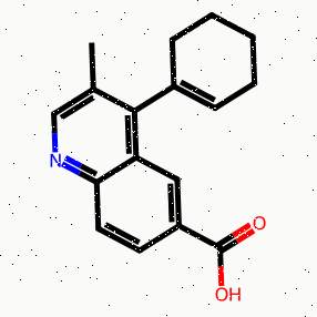 Cc1cnc2ccc(C(=O)O)cc2c1C1=CCCCC1